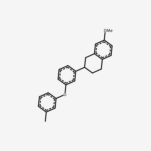 COc1ccc2c(c1)CC(c1cccc(Oc3cccc(C)c3)c1)CC2